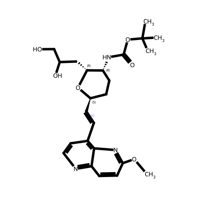 COc1ccc2nccc(/C=C/[C@@H]3CC[C@@H](NC(=O)OC(C)(C)C)[C@@H](CC(O)CO)O3)c2n1